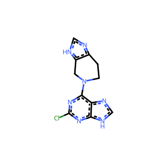 Clc1nc(N2CCc3nc[nH]c3C2)c2nc[nH]c2n1